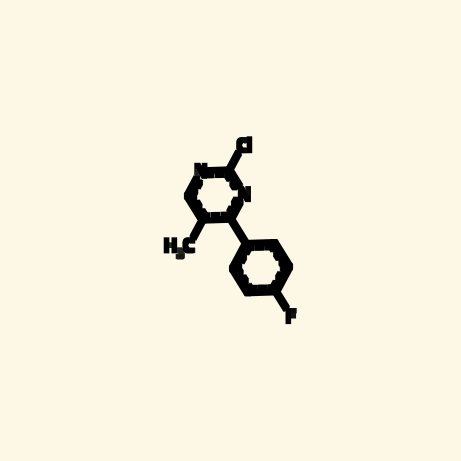 Cc1cnc(Cl)nc1-c1ccc(F)cc1